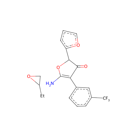 CCC1CO1.NC1=C(c2cccc(C(F)(F)F)c2)C(=O)C(c2ccco2)O1